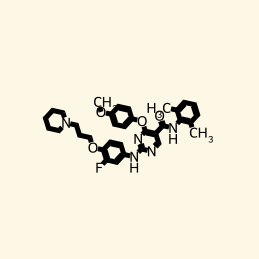 COc1ccc(Oc2nc(Nc3ccc(OCCCN4CCCCC4)c(F)c3)ncc2C(=O)Nc2c(C)cccc2C)cc1